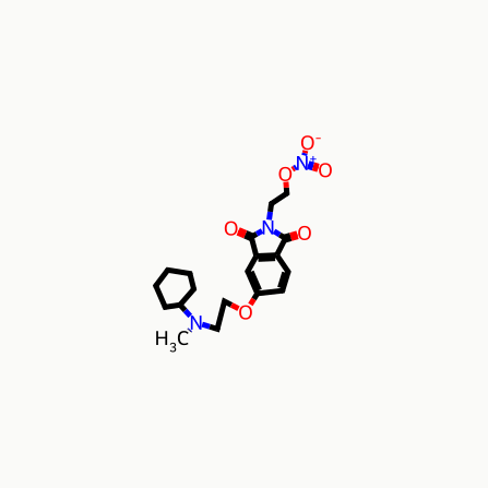 CN(CCOc1ccc2c(c1)C(=O)N(CCO[N+](=O)[O-])C2=O)C1CCCCC1